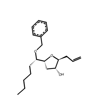 C=CC[C@@H]1O[C@@H]([C@H](CCCCC)OCc2ccccc2)C[C@H]1O